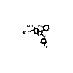 COc1cc2c(cc1CC(=O)O)nc(Nc1ccc(C(C)C)cc1)n2[C@@H]1C[C@H](C)CC[C@H]1C(C)C